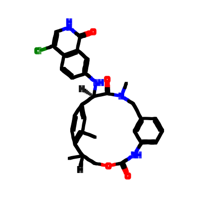 Cc1cc2ccc1[C@@H](C)COC(=O)Nc1cccc(c1)CN(C)C(=O)[C@@H]2Nc1ccc2c(Cl)c[nH]c(=O)c2c1